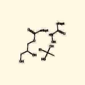 CCC(C)(O)O.CCCCCCCC(=O)NO.CCCCCCCC(=O)OCC(O)CO